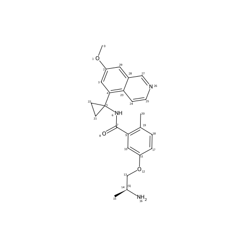 COc1cc(C2(NC(=O)c3cc(OC[C@H](C)N)ccc3C)CC2)c2ccncc2c1